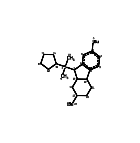 CC(C)(C)c1ccc2c(c1)C(S(C)(C)C1CCCC1)C1CC(C(C)(C)C)CCC21